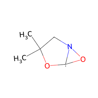 CC1(C)CN2O[C]2O1